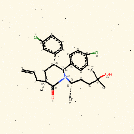 C=CC[C@@]1(C)C[C@H](c2cccc(Cl)c2)[C@@H](c2ccc(Cl)cc2)N([C@@H](CC)CCC(C)(O)C(F)(F)F)C1=O